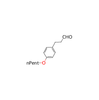 CCCCCOc1ccc(CCC=O)cc1